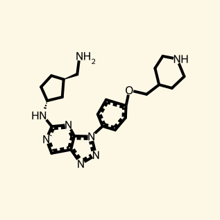 NC[C@@H]1CC[C@@H](Nc2ncc3nnn(-c4ccc(OCC5CCNCC5)cc4)c3n2)C1